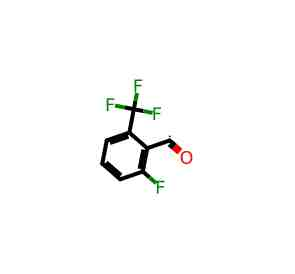 O=[C]c1c(F)cccc1C(F)(F)F